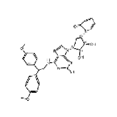 COc1ccc(C(CNc2nc(Cl)nc3c2ncn3[C@@H]2C[C@H](n3ccccc3=O)[C@@H](O)[C@H]2O)c2ccc(OC)cc2)cc1